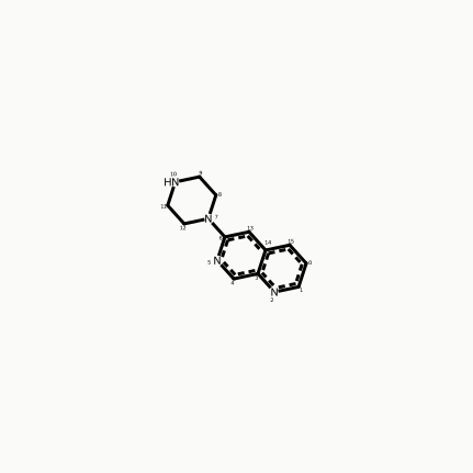 c1cnc2cnc(N3CCNCC3)cc2c1